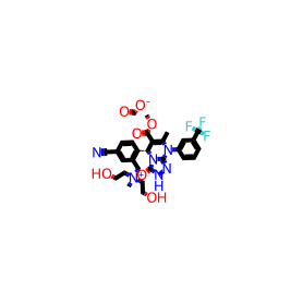 COC(=O)C1=C(C)N(c2cccc(C(F)(F)F)c2)c2n[nH]c(=O)n2[C@@H]1c1ccc(C#N)cc1C[N+](C)(CCO)CCO.O=C[O-]